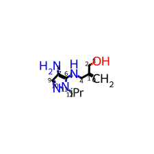 C=C(CO)CNc1c(N)cnn1C(C)C